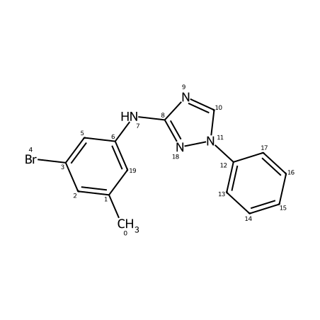 Cc1cc(Br)cc(Nc2ncn(-c3ccccc3)n2)c1